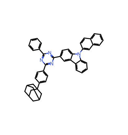 c1ccc(-c2nc(-c3ccc(C45CC6CC(CC(C6)C4)C5)cc3)nc(-c3ccc4c(c3)c3ccccc3n4-c3ccc4ccccc4c3)n2)cc1